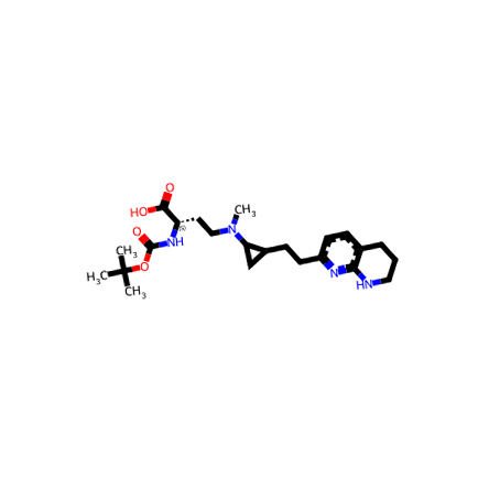 CN(CC[C@H](NC(=O)OC(C)(C)C)C(=O)O)C1CC1CCc1ccc2c(n1)NCCC2